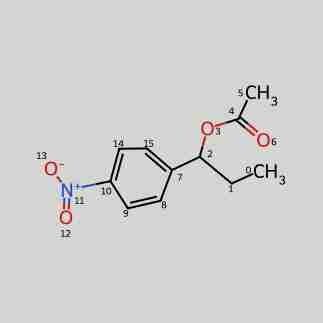 CCC(OC(C)=O)c1ccc([N+](=O)[O-])cc1